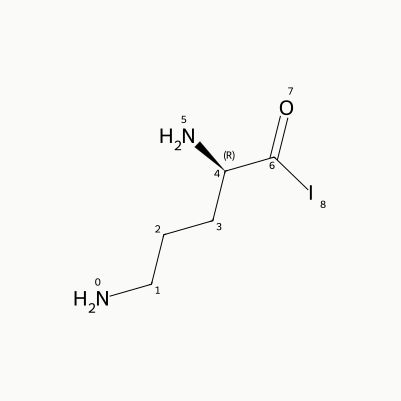 NCCC[C@@H](N)C(=O)I